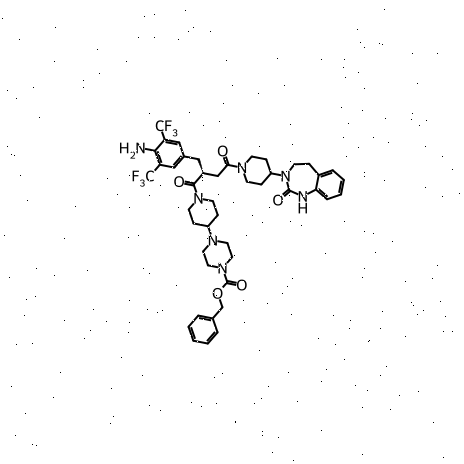 Nc1c(C(F)(F)F)cc(C[C@@H](CC(=O)N2CCC(N3CCc4ccccc4NC3=O)CC2)C(=O)N2CCC(N3CCN(C(=O)OCc4ccccc4)CC3)CC2)cc1C(F)(F)F